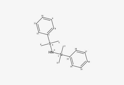 C[Si](C)(NS(C)(C)c1ccccc1)c1ccccc1